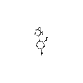 Fc1ccc(-c2ccon2)c(F)c1